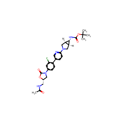 CC(=O)NC[C@H]1CN(c2ccc(-c3ccc(N4C[C@@H]5[C@H](C4)[C@H]5NC(=O)OC(C)(C)C)nc3)c(F)c2)C(=O)O1